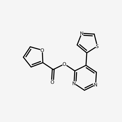 O=C(Oc1ncncc1-c1cncs1)c1ccco1